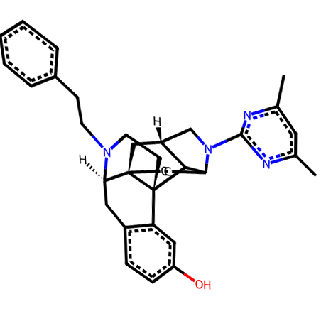 Cc1cc(C)nc(N2C[C@H]3C[C@@]45CCC2C3[C@@]42CCN(CCc3ccccc3)[C@@H]5Cc3ccc(O)cc32)n1